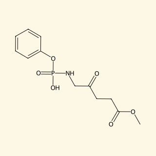 COC(=O)CCC(=O)CNP(=O)(O)Oc1ccccc1